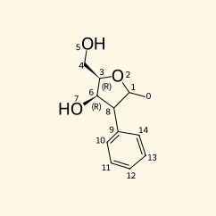 CC1O[C@H](CO)[C@H](O)C1c1ccccc1